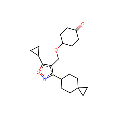 O=C1CCC(OCc2c(C3CCC4(CC3)CC4)noc2C2CC2)CC1